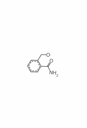 NC(=O)c1ccccc1C[O]